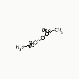 CCCCOc1ccc(-c2ccc(CC[C@H]3CC[C@H](OC(=O)[C@@H](F)CCCC)CC3)cc2)cc1Br